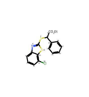 CCOC(=O)C(Sc1nc2cccc(Cl)c2s1)c1ccccc1